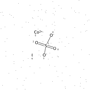 O=S(=O)([O-])[O-].[Co+2].[I]